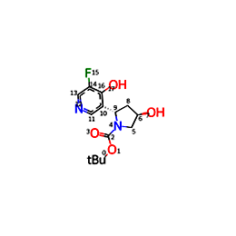 CC(C)(C)OC(=O)N1C[C@H](O)C[C@H]1c1cncc(F)c1O